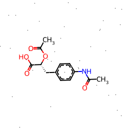 CC(=O)Nc1ccc(C[C@@H](OC(C)=O)C(=O)O)cc1